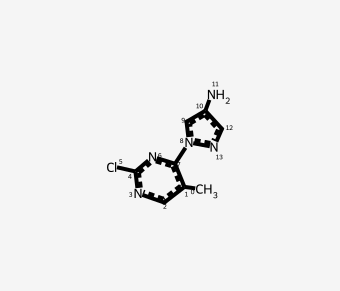 Cc1cnc(Cl)nc1-n1cc(N)cn1